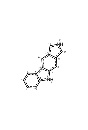 c1ccc2c(c1)[nH]c1cc3c[nH]cc3cc12